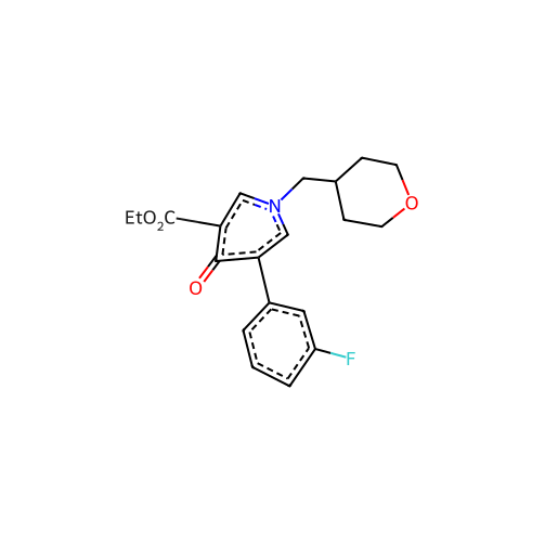 CCOC(=O)c1cn(CC2CCOCC2)cc(-c2cccc(F)c2)c1=O